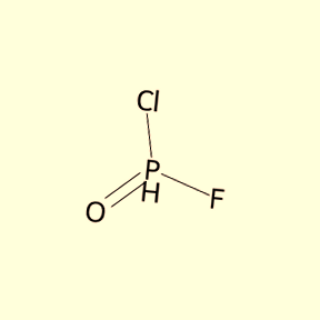 O=[PH](F)Cl